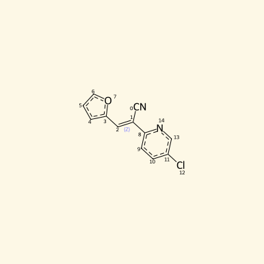 N#C/C(=C\c1ccco1)c1ccc(Cl)cn1